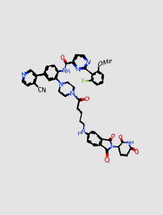 COc1cccc(F)c1-c1nccc(C(=O)Nc2ccc(-c3cnccc3C#N)cc2N2CCN(C(=O)CCCCNc3ccc4c(c3)C(=O)N(C3CCC(=O)NC3=O)C4=O)CC2)n1